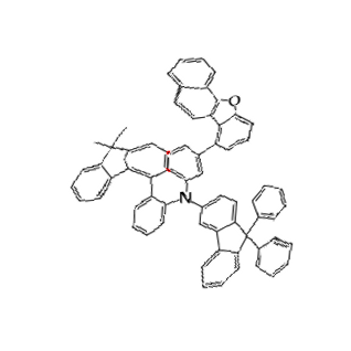 CC1(C)c2ccccc2-c2c(-c3ccccc3N(c3cccc(-c4cccc5oc6c7ccccc7ccc6c45)c3)c3ccc4c(c3)-c3ccccc3C4(c3ccccc3)c3ccccc3)cccc21